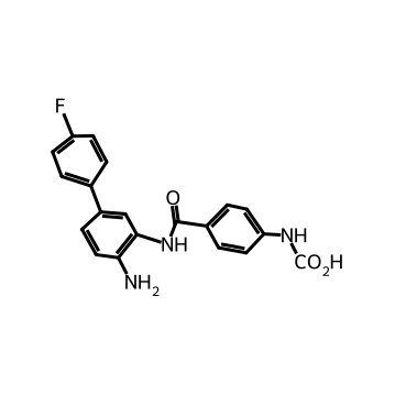 Nc1ccc(-c2ccc(F)cc2)cc1NC(=O)c1ccc(NC(=O)O)cc1